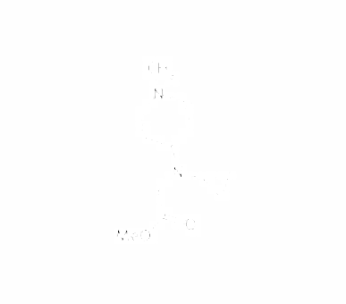 COC(=O)CN(C1CC1)C1CCN(C)CC1